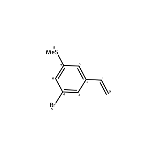 C=Cc1cc(Br)cc(SC)c1